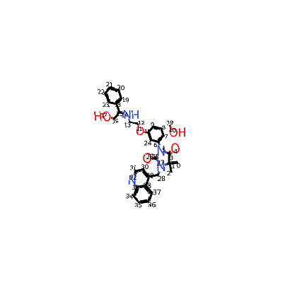 CC1(C)C(=O)N(c2cccc(OCCNC(CO)c3ccccc3)c2)C(=O)N1Cc1ccnc2ccccc12.CO